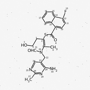 CC(=C(CCO)SC(=O)c1ccc(F)c2ccccc12)N(C=O)Cc1cnc(C)nc1N